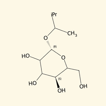 CC(C)C(C)O[C@@H]1OC(CO)[C@@H](O)C(O)C1O